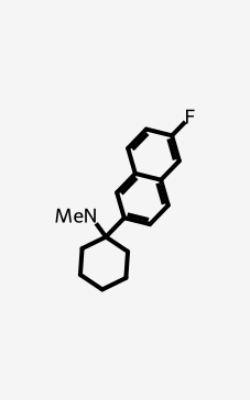 CNC1(c2ccc3cc(F)ccc3c2)CCCCC1